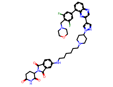 O=C1CCC(N2C(=O)c3ccc(NCCCCCCN4CCC(n5cc(-c6cnc7cccc(-c8cc(F)c(CN9CCOCC9)c(F)c8)c7n6)cn5)CC4)cc3C2=O)C(=O)N1